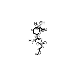 COCCS(=O)(=O)N=C(N)[C@@H]1CC[C@@H]2CN1C(=O)N2O